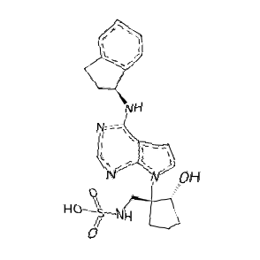 O=S(=O)(O)NC[C@]1(n2ccc3c(N[C@H]4CCc5ccccc54)ncnc32)CCC[C@H]1O